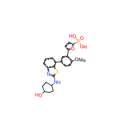 COc1ccc(-c2cccc3nc(NC4CCC(O)CC4)sc23)cc1-c1ccc(P(=O)(O)O)o1